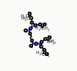 CC1(C)c2ccccc2-c2ccc(-c3ccc4c(c3)c3cc(C5=CC6C(C=C5)c5ccccc5C6(C)C)ccc3n4-c3ccc(N(c4ccccc4)c4ccc(/C=C/c5ccc(N(c6ccccc6)c6ccc(-n7c8ccc(-c9ccc%10c(c9)C(C)(C)c9ccccc9-%10)cc8c8cc(-c9ccc%10c(c9)C(C)(C)c9ccccc9-%10)ccc87)cc6)cc5)cc4)cc3)cc21